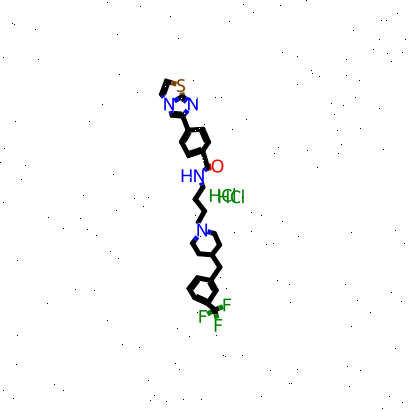 Cl.Cl.O=C(NCCCCN1CCC(Cc2cccc(C(F)(F)F)c2)CC1)c1ccc(-c2cn3ccsc3n2)cc1